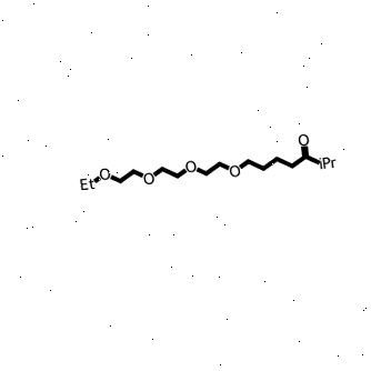 CCOCCOCCOCCOCCCCC(=O)C(C)C